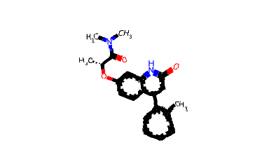 Cc1ccccc1-c1cc(=O)[nH]c2cc(O[C@H](C)C(=O)N(C)C)ccc12